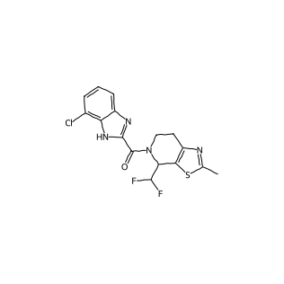 Cc1nc2c(s1)C(C(F)F)N(C(=O)c1nc3cccc(Cl)c3[nH]1)CC2